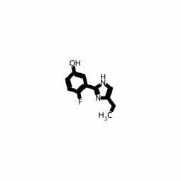 CCc1c[nH]c(-c2cc(O)ccc2F)n1